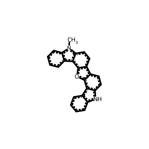 Cn1c2ccccc2c2c3oc4c(ccc5[nH]c6ccccc6c54)c3ccc21